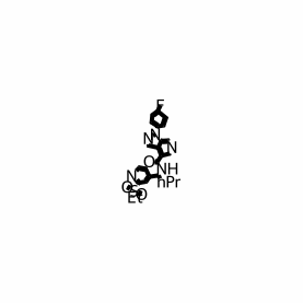 CCCC(NC(=O)c1cncc2c1cnn2-c1ccc(F)cc1)c1ccnc(S(=O)(=O)CC)c1